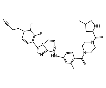 C=C(c1ccc(Nc2nccn3c(C4=C(F)C(F)C(CCC#N)C=C4)cnc23)cc1C)N1CCN(C(=C)C2CC(C)CN2)CC1